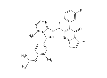 Cc1csc2nc([C@H](C)n3nc(-c4ccc(OC(P)P)c(P)c4)c4c(N)ncnc43)c(-c3cccc(F)c3)c(=O)n12